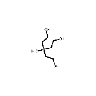 C[N+](CCO)(CCO)CCO